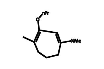 CCCOC1=C(C)CCCC(NC)=C1